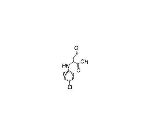 O=CCC(Nc1ccc(Cl)cn1)C(=O)O